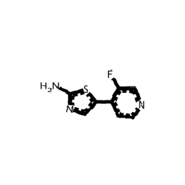 Nc1ncc(-c2ccncc2F)s1